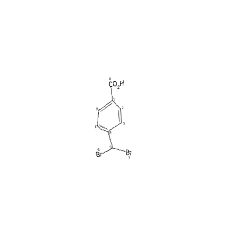 O=C(O)c1ccc(C(Br)Br)cc1